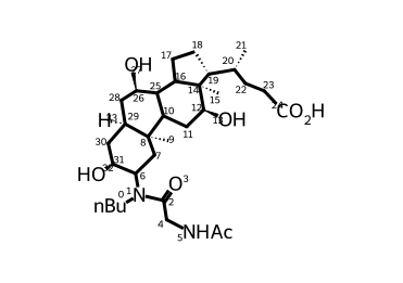 CCCCN(C(=O)CNC(C)=O)C1C[C@]2(C)C3C[C@H](O)[C@@]4(C)C(CC[C@@H]4[C@H](C)CCC(=O)O)C3[C@H](O)C[C@@H]2C[C@@H]1O